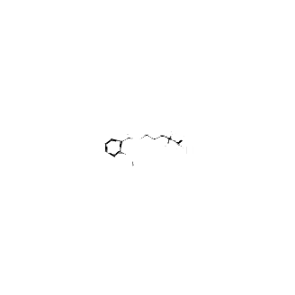 COc1ccccc1COCCCC(Cl)(Br)C(=O)O